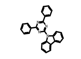 c1ccc(-c2nc(-c3ccccc3)nc(-n3c4ccccc4c4ccccc43)n2)cc1